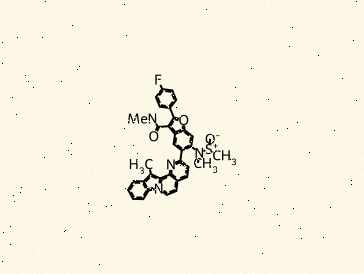 CNC(=O)c1c(-c2ccc(F)cc2)oc2cc(N(C)[S+](C)[O-])c(-c3ccc4ccn5c6ccccc6c(C)c5c4n3)cc12